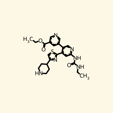 CCNC(=O)Nc1cc(-c2nc(C3CCNCC3)cs2)c(-c2cncc(C(=O)OCC)c2)cn1